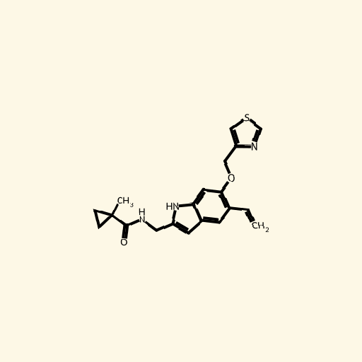 C=Cc1cc2cc(CNC(=O)C3(C)CC3)[nH]c2cc1OCc1cscn1